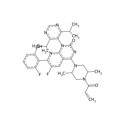 C=CC(=O)N1CC(C)N(c2nc(=O)n(-c3c(C(C)C)ncnc3C(C)C)c3nc(-c4c(O)cccc4F)c(F)cc23)CC1C